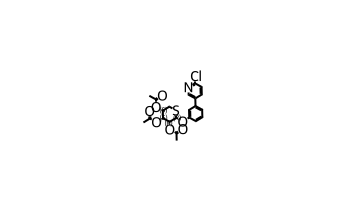 CC(=O)O[C@@H]1[C@@H](OC(C)=O)[C@H](OC(C)=O)CS[C@H]1Oc1cccc(-c2ccc(Cl)nc2)c1